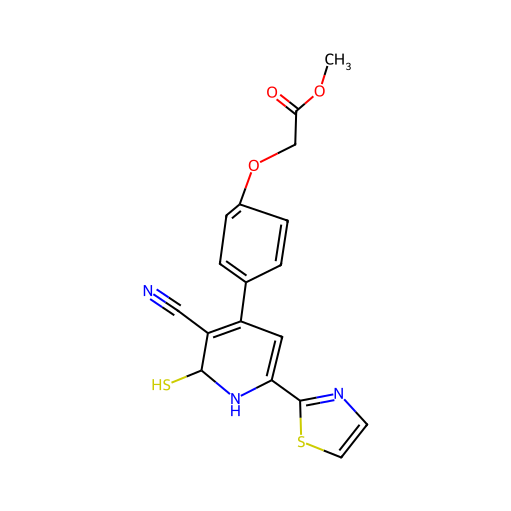 COC(=O)COc1ccc(C2=C(C#N)C(S)NC(c3nccs3)=C2)cc1